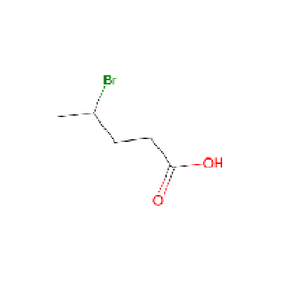 CC(Br)CCC(=O)O